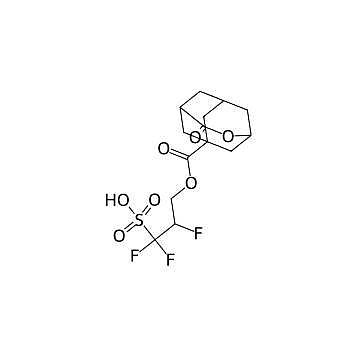 O=C1OC2CC3CC1CC(C(=O)OCC(F)C(F)(F)S(=O)(=O)O)(C3)C2